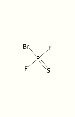 FP(F)(=S)Br